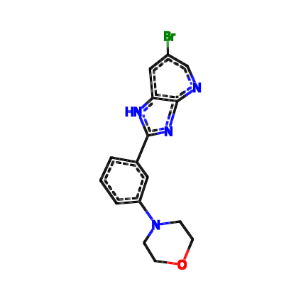 Brc1cnc2nc(-c3cccc(N4CCOCC4)c3)[nH]c2c1